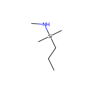 CCC[Si](C)(C)NC